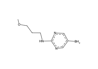 Bc1cnc(NCCCOC)nc1